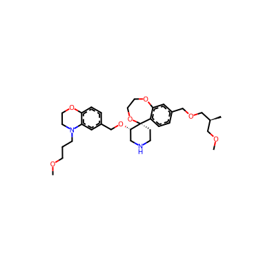 COCCCN1CCOc2ccc(CO[C@H]3CNCC[C@@]34OCCOc3cc(COC[C@@H](C)COC)ccc34)cc21